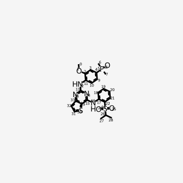 COc1cc(P(C)(C)=O)ccc1Nc1nc(Nc2ccccc2S(=O)(=O)C(C)C)c2sccc2n1